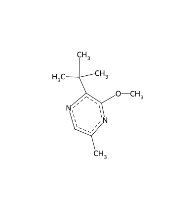 COc1nc(C)cnc1C(C)(C)C